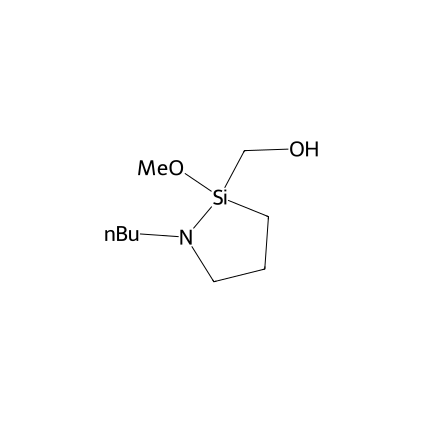 CCCCN1CCC[Si]1(CO)OC